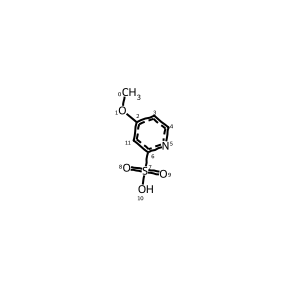 COc1ccnc(S(=O)(=O)O)c1